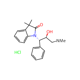 CNC[C@H](O)[C@H](c1ccccc1)N1C(=O)C(C)(C)c2ccccc21.Cl